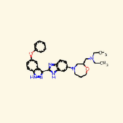 CCN(CC)CC1CN(c2ccc3nc(-c4n[nH]c5ccc(Oc6ccccc6)cc45)[nH]c3c2)CCCO1